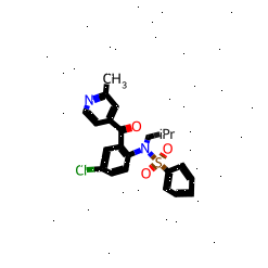 Cc1cc(C(=O)c2cc(Cl)ccc2N(CC(C)C)S(=O)(=O)c2ccccc2)ccn1